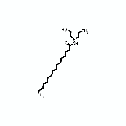 CCCCCCCCCCCCCCCC(=O)NN(CCC)CCC